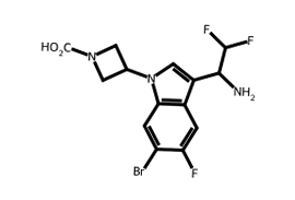 NC(c1cn(C2CN(C(=O)O)C2)c2cc(Br)c(F)cc12)C(F)F